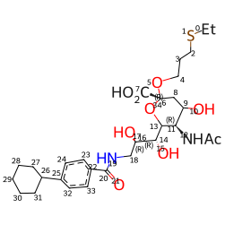 CCSCCCO[C@]1(C(=O)O)CC(O)[C@@H](NC(C)=O)C([C@H](O)[C@H](O)CNC(=O)c2ccc(C3CCCCC3)cc2)O1